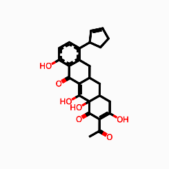 CC(=O)C1=C(O)CC2CC3Cc4c(C5C=CCC5)ccc(O)c4C(=O)C3=C(O)C2(O)C1=O